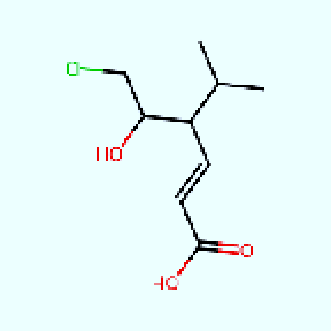 CC(C)C(/C=C/C(=O)O)C(O)CCl